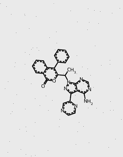 CC(c1oc(=O)c2ccccc2c1-c1ccccc1)n1nc(-c2cnccn2)c2c(N)ncnc21